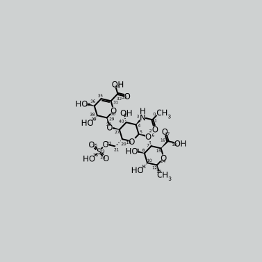 CC(=O)N[C@H]1[C@@H](O[C@H]2[C@H](O)[C@@H](O)[C@H](C)O[C@@H]2C(=O)O)O[C@H](COS(=O)(=O)O)[C@@H](O[C@@H]2OC(C(=O)O)=C[C@H](O)[C@H]2O)[C@@H]1O